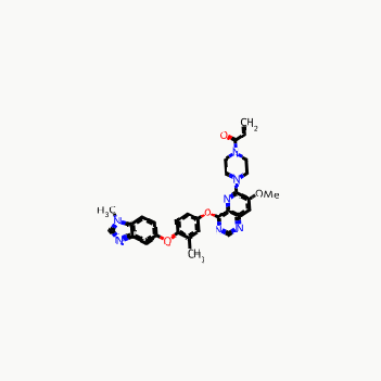 C=CC(=O)N1CCN(c2nc3c(Oc4ccc(Oc5ccc6c(c5)ncn6C)c(C)c4)ncnc3cc2OC)CC1